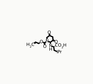 C=CCOC(=O)N1CC(=O)CC(=O)C1N[C@@H](CC(C)C)C(=O)O